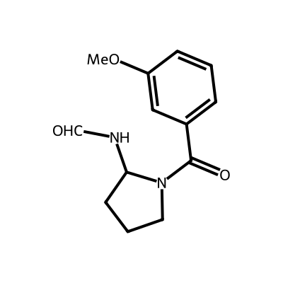 COc1cccc(C(=O)N2CCCC2NC=O)c1